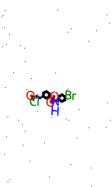 O=C(Cl)/C=C/c1cccc(S(=O)(=O)Nc2ccc(Br)cc2)c1